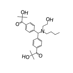 CCCCN(CCO)C(c1ccc(C(=O)C(C)(C)O)cc1)c1ccc(C(=O)C(C)(C)O)cc1